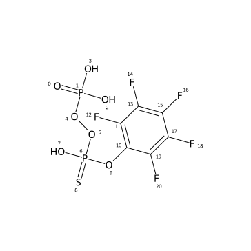 O=P(O)(O)OOP(O)(=S)Oc1c(F)c(F)c(F)c(F)c1F